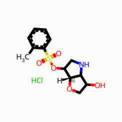 Cc1ccccc1S(=O)(=O)OC1CNC2C(O)CO[C@H]12.Cl